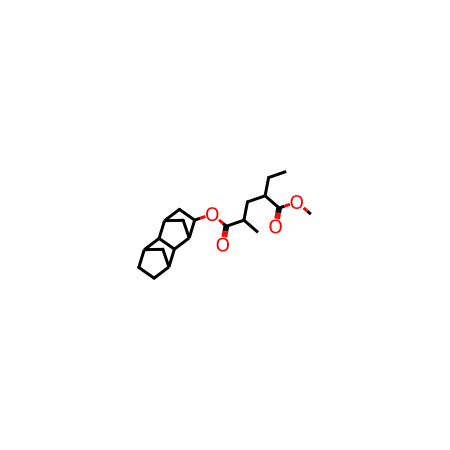 CCC(CC(C)C(=O)OC1CC2CC1C1C3CCC(C3)C21)C(=O)OC